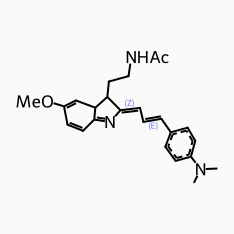 COC1=CC2C(=N/C(=C\C=C\c3ccc(N(C)C)cc3)C2CCNC(C)=O)C=C1